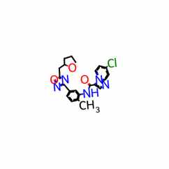 Cc1ccc(-c2noc(CC3CCCO3)n2)cc1NC(=O)c1cnc2cc(Cl)ccn12